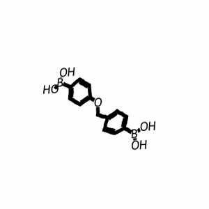 OB(O)c1ccc(COc2ccc(B(O)O)cc2)cc1